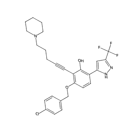 Oc1c(-c2cc(C(F)(F)F)n[nH]2)ccc(OCc2ccc(Cl)cc2)c1C#CCCCN1CCCCC1